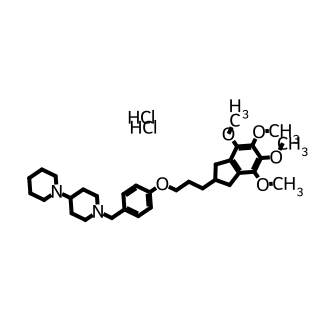 COc1c2c(c(OC)c(OC)c1OC)CC(CCCOc1ccc(CN3CCC(N4CCCCC4)CC3)cc1)C2.Cl.Cl